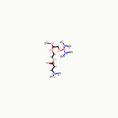 CCOC(COP(N(C(C)C)C(C)C)N(C(C)C)C(C)C)OCCSC(=O)CCN(C(C)C)C(C)C